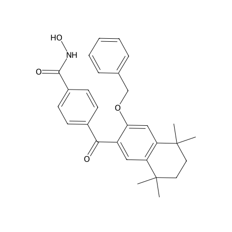 CC1(C)CCC(C)(C)c2cc(C(=O)c3ccc(C(=O)NO)cc3)c(OCc3ccccc3)cc21